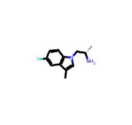 Cc1cn(C[C@H](C)N)c2ccc(F)cc12